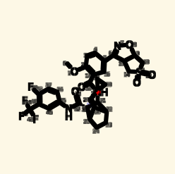 COc1ccc(C2=NOC3CS(=O)(=O)CC23)cc1C(=O)NC1C2CCC(/C2=C/C2CC2)[C@@H]1C(=O)Nc1ccc(F)c(C(F)(F)F)c1